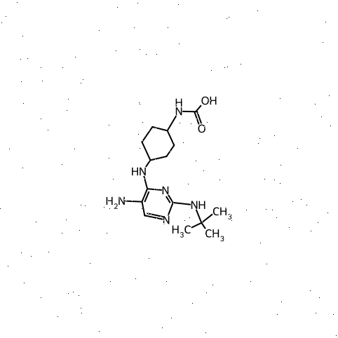 CC(C)(C)Nc1ncc(N)c(NC2CCC(NC(=O)O)CC2)n1